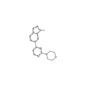 Cn1ncc2ccc(-c3c[c]nc(N4CCOCC4)n3)cc21